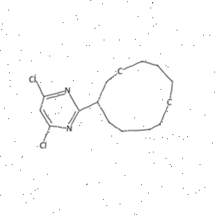 Clc1cc(Cl)nc(C2CCCCCCCCCC2)n1